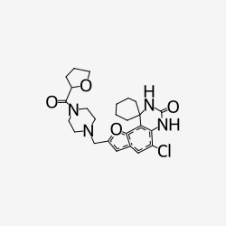 O=C1Nc2c(Cl)cc3cc(CN4CCN(C(=O)C5CCCO5)CC4)oc3c2C2(CCCCC2)N1